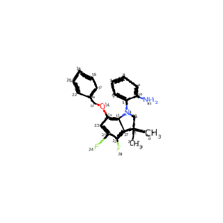 CC1(C)CN(c2ccccc2N)c2c(OCc3ccccc3)cc(F)c(F)c21